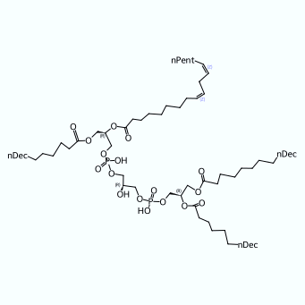 CCCCC/C=C\C/C=C\CCCCCCCC(=O)O[C@H](COC(=O)CCCCCCCCCCCCCCC)COP(=O)(O)OC[C@H](O)COP(=O)(O)OC[C@@H](COC(=O)CCCCCCCCCCCCCCCCC)OC(=O)CCCCCCCCCCCCCCC